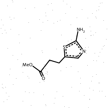 COC(=O)CCc1cnc(N)s1